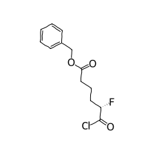 O=C(CCC[C@H](F)C(=O)Cl)OCc1ccccc1